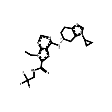 CCn1c(C(=O)NCC(F)(F)F)nc2c(N[C@@H]3CCc4ncn(C5CC5)c4C3)ncnc21